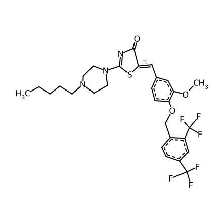 CCCCCN1CCN(C2=NC(=O)/C(=C/c3ccc(OCc4ccc(C(F)(F)F)cc4C(F)(F)F)c(OC)c3)S2)CC1